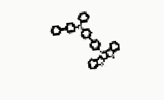 c1ccc(-c2ccc(N(c3ccccc3)c3ccc(-c4ccc(N5C6c7ccccc7SC6C6Sc7ccccc7C65)cc4)cc3)cc2)cc1